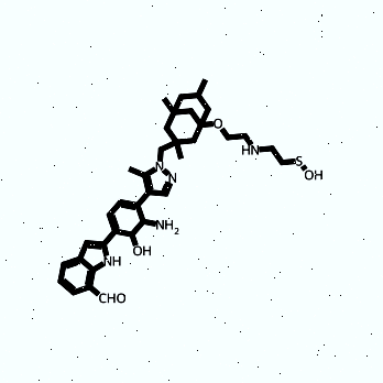 Cc1c(C2=CC=C(c3cc4cccc(C=O)c4[nH]3)C(O)C2N)cnn1CC1(C)CC2(C)CC(C)CC(OCCNCCSO)(C2)C1